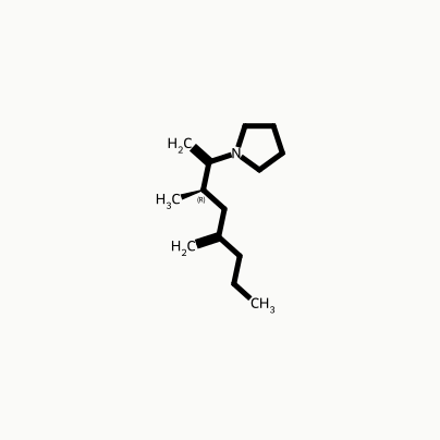 C=C(CCC)C[C@@H](C)C(=C)N1CCCC1